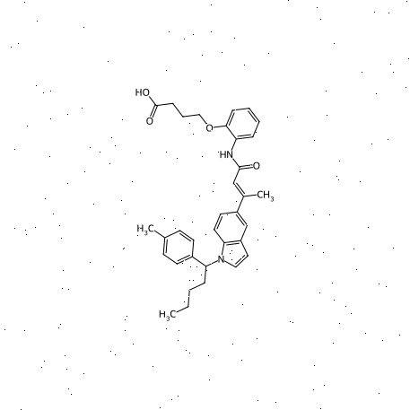 CCCCC(c1ccc(C)cc1)n1ccc2cc(C(C)=CC(=O)Nc3ccccc3OCCCC(=O)O)ccc21